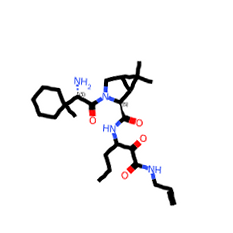 C=CCNC(=O)C(=O)C(CCC)NC(=O)[C@@H]1C2C(CN1C(=O)[C@@H](N)C1(C)CCCCC1)C2(C)C